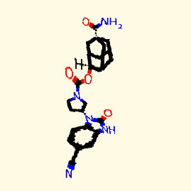 N#Cc1ccc2c(c1)[nH]c(=O)n2[C@@H]1CCN(C(=O)O[C@H]2C3CC4CC2C[C@](C(N)=O)(C4)C3)C1